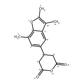 Cc1oc2c(C)cc(C3CC(=O)OC(=O)C3)cc2c1C